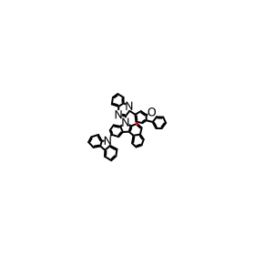 c1ccc2c(c1)ccc1c2c2cc(-n3c4ccccc4c4ccccc43)ccc2n1-c1nc2ccccc2nc1-c1ccc2c(c1)oc1ccccc12